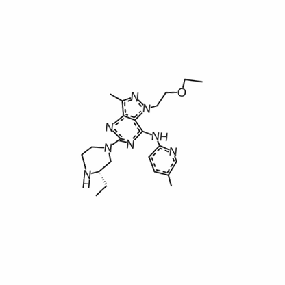 CCOCCn1nc(C)c2nc(N3CCN[C@@H](CC)C3)nc(Nc3ccc(C)cn3)c21